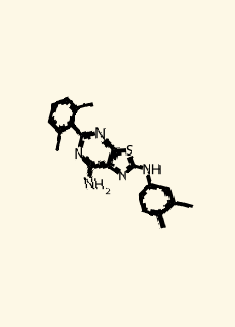 Cc1ccc(Nc2nc3c(N)nc(-c4c(C)cccc4C)nc3s2)cc1C